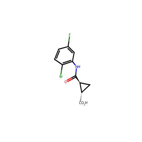 O=C(O)[C@H]1C[C@@H]1C(=O)Nc1cc(F)ccc1Br